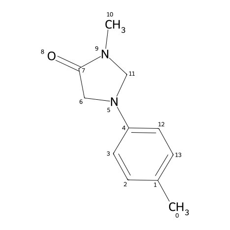 Cc1ccc(N2CC(=O)N(C)C2)cc1